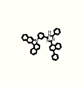 c1ccc(-c2ccc(C3=NC(c4ccccc4)NC(c4cccc(-n5c6cc7ccccc7cc6c6c7ccccc7ccc65)c4)=N3)c3ccccc23)cc1